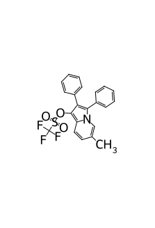 Cc1ccc2c(OS(=O)(=O)C(F)(F)F)c(-c3ccccc3)c(-c3ccccc3)n2c1